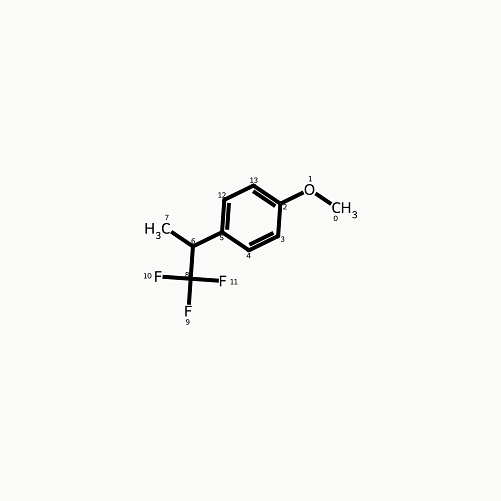 COc1ccc(C(C)C(F)(F)F)cc1